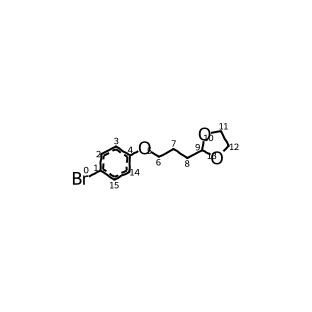 Brc1ccc(OCCCC2OCCO2)cc1